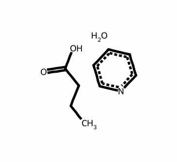 CCCC(=O)O.O.c1ccncc1